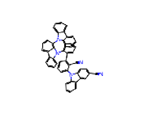 N#Cc1ccc2c(c1)c1ccccc1n2-c1cccc(-c2ccccc2-n2c3ccccc3c3cccc(-n4c5ccccc5c5ccccc54)c32)c1C#N